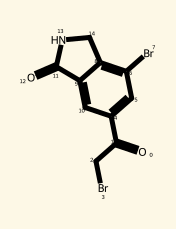 O=C(CBr)c1cc(Br)c2c(c1)C(=O)NC2